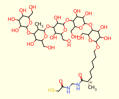 CC1C(OC2C(O)C(CO)OC(OC3C(CO)OC(OC4C(CO)OC(OCCCCCC[C@H](C)C(=O)NCNC(=O)CS)C(O)C4O)C(O)C3O)C2O)OC(CO)C(O)C1OC1OC(CO)C(O)C(O)C1O